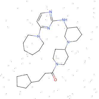 O=C(CCC1CCCC1)N1CCC(N2CCCC(Nc3nccc(N4CCCCCC4)n3)C2)CC1